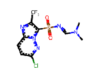 CN(C)C=NS(=O)(=O)c1c(C(F)(F)F)nc2ccc(Cl)nn12